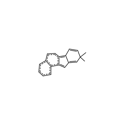 CC1(C)C=[C]C2=c3ccc4ccccc4c3=CC2=C1